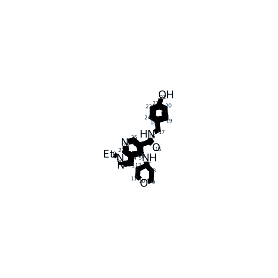 CCn1ncc2c(NC3CCOCC3)c(C(=O)NCc3ccc(O)cc3)cnc21